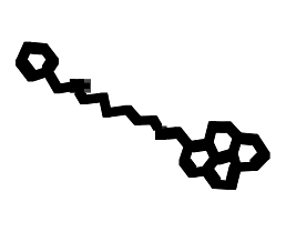 C(=N\CCCCCCNCc1ccccc1)/c1ccc2ccc3cccc4ccc1c2c34